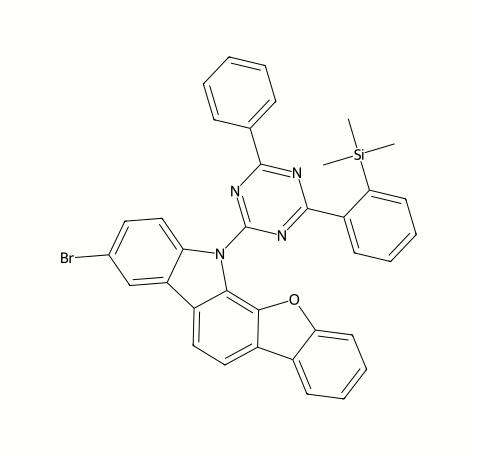 C[Si](C)(C)c1ccccc1-c1nc(-c2ccccc2)nc(-n2c3ccc(Br)cc3c3ccc4c5ccccc5oc4c32)n1